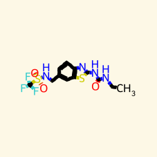 CCNC(=O)Nc1nc2ccc(CNS(=O)(=O)C(F)(F)F)cc2s1